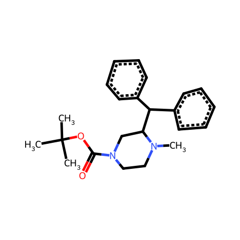 CN1CCN(C(=O)OC(C)(C)C)CC1C(c1ccccc1)c1ccccc1